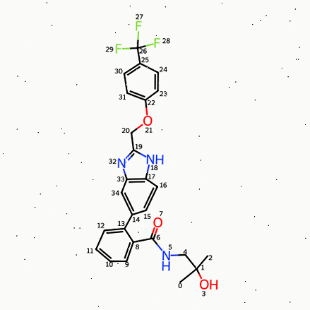 CC(C)(O)CNC(=O)c1ccccc1-c1ccc2[nH]c(COc3ccc(C(F)(F)F)cc3)nc2c1